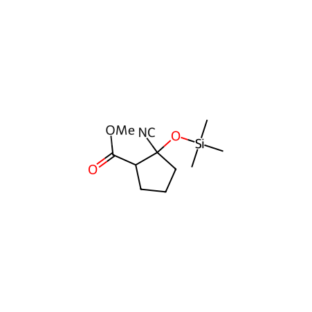 COC(=O)C1CCCC1(C#N)O[Si](C)(C)C